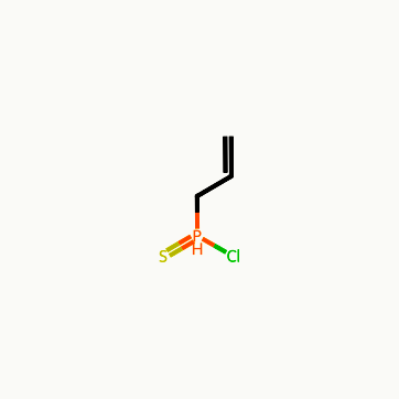 C=CC[PH](=S)Cl